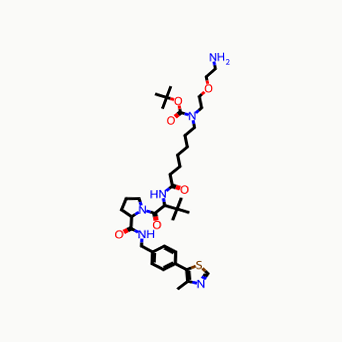 Cc1ncsc1-c1ccc(CNC(=O)C2CCCN2C(=O)C(NC(=O)CCCCCCN(CCOCCN)C(=O)OC(C)(C)C)C(C)(C)C)cc1